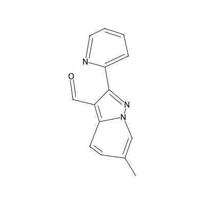 Cc1ccc2c(C=O)c(-c3ccccn3)nn2c1